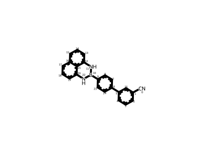 N#Cc1cccc(-c2ccc(B3Nc4cccc5cccc(c45)N3)cc2)c1